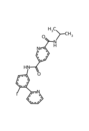 CC(C)NC(=O)c1ccc(C(=O)Nc2ccc(I)c(-c3ccccn3)c2)cn1